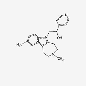 Cc1ccc2c(c1)c1c(n2CC(O)c2ccncc2)CCN(C)CC1